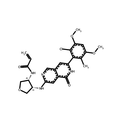 C=CC(=O)N[C@H]1COC[C@H]1Nc1cc2c(=O)[nH]c(-c3c(C)c(OC)cc(OC)c3Cl)cc2cn1